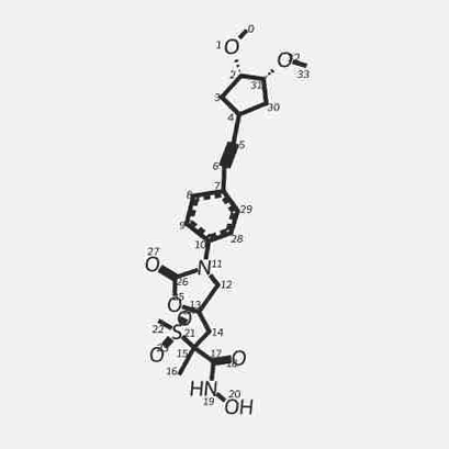 CO[C@H]1CC(C#Cc2ccc(N3CC(CC(C)(C(=O)NO)S(C)(=O)=O)OC3=O)cc2)C[C@H]1OC